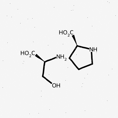 N[C@@H](CO)C(=O)O.O=C(O)[C@@H]1CCCN1